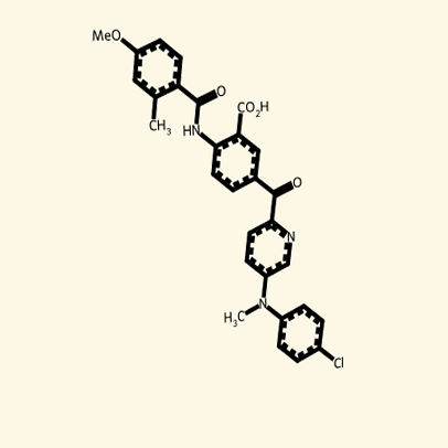 COc1ccc(C(=O)Nc2ccc(C(=O)c3ccc(N(C)c4ccc(Cl)cc4)cn3)cc2C(=O)O)c(C)c1